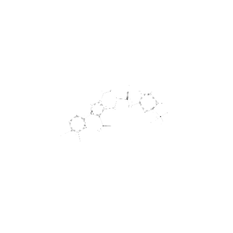 NC(=O)c1c(-c2ccc(F)c(Cl)c2)nn2c1CN(C(=O)Nc1cc(C(F)(F)F)ccn1)CC2